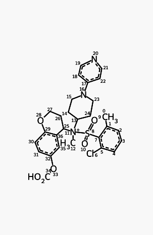 Cc1cccc(Cl)c1S(=O)(=O)[N+](C)(C1CCN(c2ccncc2)CC1)C1CCOc2ccc(OC(=O)O)cc21